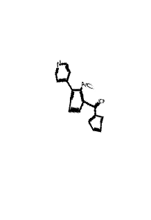 CC(=O)c1c(C(=O)c2ccccc2)cccc1-c1ccncc1